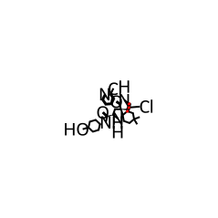 CC1(C)CCC2(CC1)N[C@@H](C(=O)NC1CCC(O)CC1)[C@H](c1ccnc(Cl)c1)[C@]21C(=O)Nc2cc(Cl)ccc21